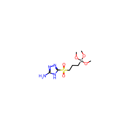 CO[Si](CCCS(=O)(=O)c1nnc(N)[nH]1)(OC)OC